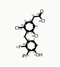 CC(C)c1c(O)ccc(Cc2c(Cl)cc(CC(=O)Cl)cc2Cl)c1F